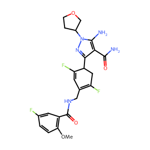 COc1ccc(F)cc1C(=O)NCC1=C(F)CC(c2nn(C3CCOC3)c(N)c2C(N)=O)C(F)=C1